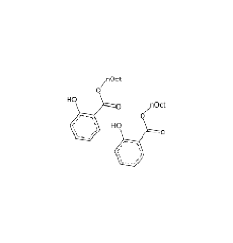 CCCCCCCCOC(=O)c1ccccc1O.CCCCCCCCOC(=O)c1ccccc1O